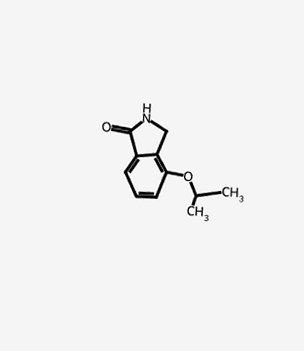 CC(C)Oc1cccc2c1CNC2=O